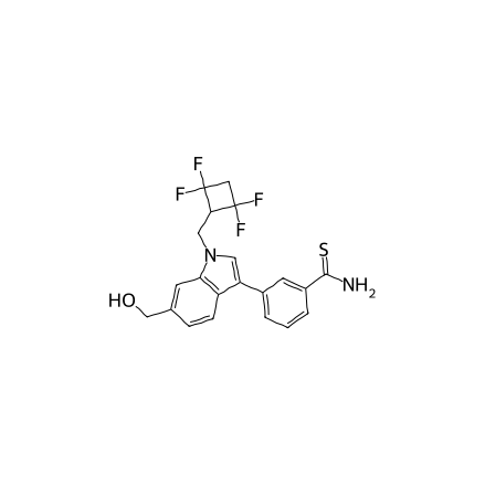 NC(=S)c1cccc(-c2cn(CC3C(F)(F)CC3(F)F)c3cc(CO)ccc23)c1